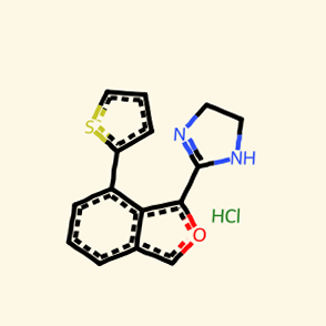 Cl.c1csc(-c2cccc3coc(C4=NCCN4)c23)c1